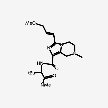 CNC(=O)C(NC(=O)c1nc(C=CCOC)n2c1CN(C)CC2)C(C)(C)C